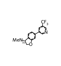 CN[C@@H]1COc2cc(-c3cncc(C(F)(F)F)c3)ccc21